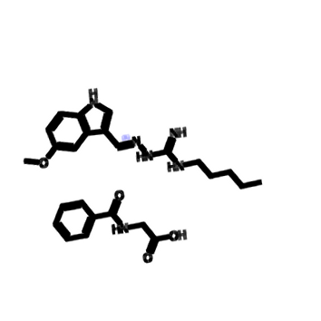 CCCCCNC(=N)N/N=C/c1c[nH]c2ccc(OC)cc12.O=C(O)CNC(=O)c1ccccc1